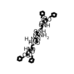 Nc1nc(C(=O)NCCC(=O)N[C@H](CC(=O)OCc2ccccc2)C(=O)OCc2ccccc2)c(N)nc1C(=O)NCCC(=O)N[C@H](CC(=O)OCc1ccccc1)C(=O)OCc1ccccc1